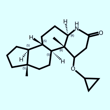 C[C@@]12CCC[C@H]1[C@@H]1CC[C@H]3NC(=O)CC(OC4CC4)[C@]3(C)[C@H]1CC2